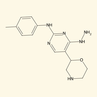 Cc1ccc(Nc2ncc(C3CNCCO3)c(NN)n2)cc1